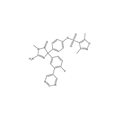 Cc1noc(C)c1S(=O)(=O)Oc1ccc(C2(c3ccc(F)c(-c4cncnc4)c3)N=C(N)N(C)C2=O)cc1